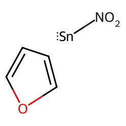 O=[N+]([O-])[Sn].c1ccoc1